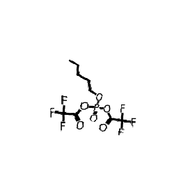 CCCCCOP(=O)(OC(=O)C(F)(F)F)OC(=O)C(F)(F)F